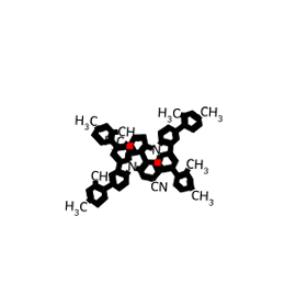 Cc1ccc(-c2ccc3c(c2)c2cc(-c4ccc(C)cc4C)ccc2n3-c2ccc(C(F)(F)F)cc2-c2ccc(C#N)cc2-n2c3ccc(-c4ccc(C)cc4C)cc3c3cc(-c4ccc(C)cc4C)ccc32)c(C)c1